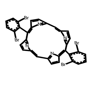 Brc1cccc(Br)c1C1=C2C=CC(=N2)C=C2C=CC(=N2)C(c2c(Br)cccc2Br)=C2C=CC(=N2)C=C2C=CC1=N2